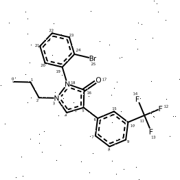 CCCn1cc(-c2cccc(C(F)(F)F)c2)c(=O)n1-c1ccccc1Br